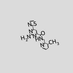 Cc1cccnc1CNC(=O)c1cc(-c2nccs2)nc(N)n1